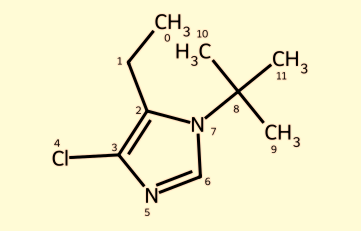 CCc1c(Cl)ncn1C(C)(C)C